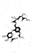 BOC(=O)N(C)CCN(C)C(=O)OCc1ccc(OCC)cc1O[C@H]1C[C@@H](O)[C@H](O)[C@@H](C(=O)O)O1